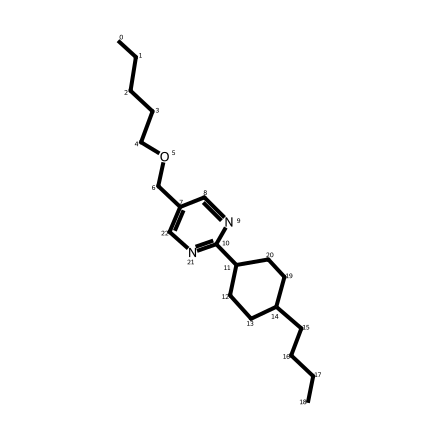 CCCCCOCc1cnc(C2CCC(CCCC)CC2)nc1